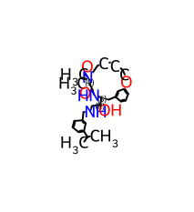 CC(C)c1cccc(CNC[C@@H](O)[C@@H]2Cc3cccc(c3)OCCCCCCC(=O)N(C)[C@@H](C)C(=O)N2)c1